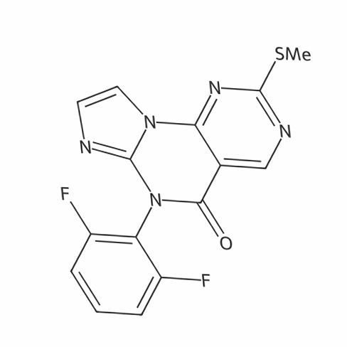 CSc1ncc2c(=O)n(-c3c(F)cccc3F)c3nccn3c2n1